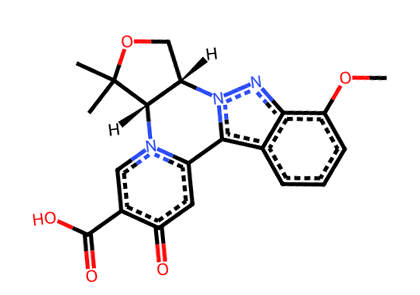 COc1cccc2c3n(nc12)[C@H]1COC(C)(C)[C@H]1n1cc(C(=O)O)c(=O)cc1-3